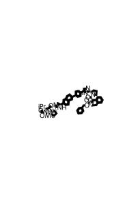 COC(=O)N[C@H](C(=O)N1CCC[C@H]1c1ncc(-c2ccc3cc(-c4ccc(-c5cnc([C@@H]6CCCN6C(=O)[C@H]6c7ccccc7CCN6C(=O)OCc6ccccc6)[nH]5)cc4)ccc3c2)[nH]1)C(C)C